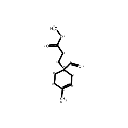 COC(=O)CC[C@@]1(C=O)CC=C(C)CC1